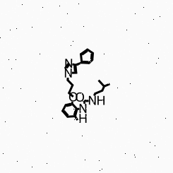 Cc1cccc(OCCCn2cnc(-c3ccccc3)c2)c1NC(=O)NCCC(C)C